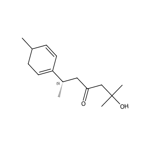 CC1C=CC([C@@H](C)CC(=O)CC(C)(C)O)=CC1